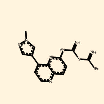 CC(C)C(=N)SC(=N)Nc1ccc2nccc(-c3cnn(C)c3)c2n1